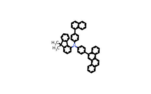 CC1(C)c2ccccc2-c2c(N(c3ccc(-c4cccc5ccccc45)cc3)c3ccc(-c4cc5c6ccccc6ccc5c5ccccc45)cc3)cccc21